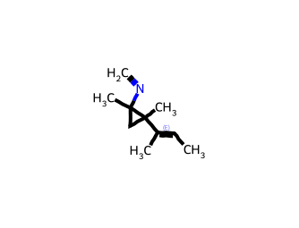 C=NC1(C)CC1(C)/C(C)=C/C